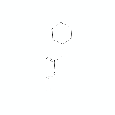 C/C=C/C(=O)N[C@@H]1CCCOC1